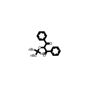 CCCCC(CCCC)(CCCC)OC(C(=O)c1ccccc1)C(=O)c1ccccc1